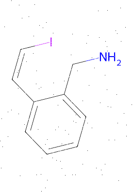 NCc1ccccc1/C=C\I